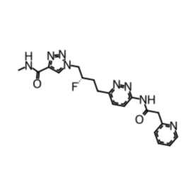 CNC(=O)c1cn(C[C@@H](F)CCc2ccc(NC(=O)Cc3ccccn3)nn2)nn1